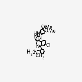 COc1ccc(Nc2ncc3c(n2)-c2ccc(Cl)cc2C(c2ccccc2CN(C)C)=NC3)cc1OC